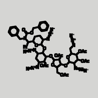 CCC(C1CCC(N=[N+]=[N-])C(OC2C(N=[N+]=[N-])CC(N=[N+]=[N-])C(OC(C)=O)C2OC2OC(COC(C)=O)C(OC3OC(CN=[N+]=[N-])C(OC(C)=O)C(OC(C)=O)C3N=[N+]=[N-])C2OC(C)=O)O1)N(Cc1ccccc1)C(=O)OCc1ccccc1